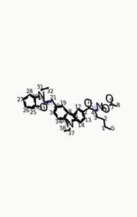 CCCC/C(=N\OC(C)=O)C(=O)c1ccc2c(c1)c1cc(/C=C3\Oc4ccccc4N3CC)ccc1n2CC